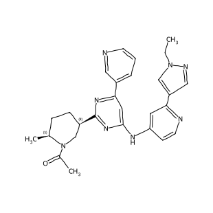 CCn1cc(-c2cc(Nc3cc(-c4cccnc4)nc([C@@H]4CC[C@H](C)N(C(C)=O)C4)n3)ccn2)cn1